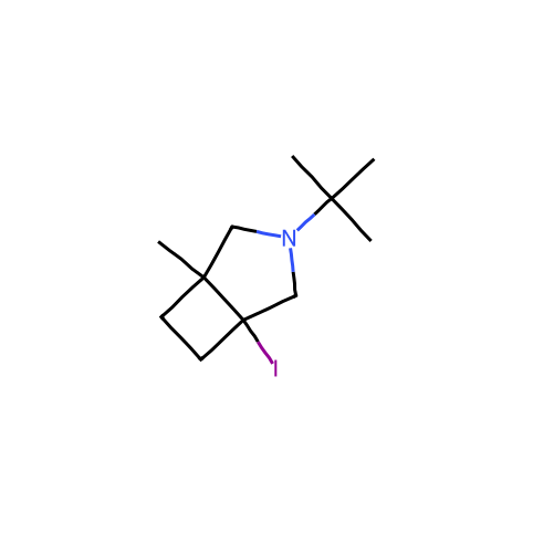 CC(C)(C)N1CC2(C)CCC2(I)C1